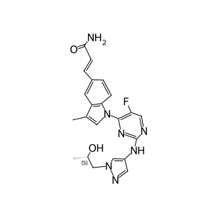 Cc1cn(-c2nc(Nc3cnn(C[C@H](C)O)c3)ncc2F)c2ccc(C=CC(N)=O)cc12